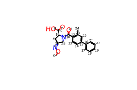 CON=C1C[C@@H](C(=O)O)N(C(=O)c2ccc(-c3ccccc3)cc2C)C1